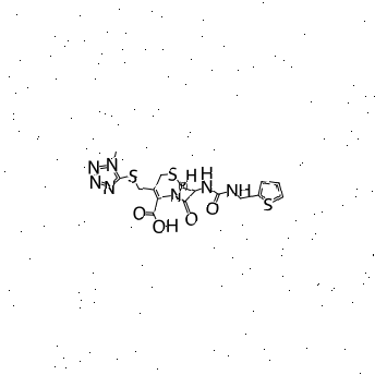 Cn1nnnc1SCC1=C(C(=O)O)N2C(=O)C(NC(=O)NCc3cccs3)[C@H]2SC1